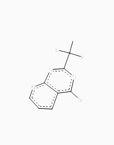 Nc1nc(C(F)(F)F)nc2ncccc12